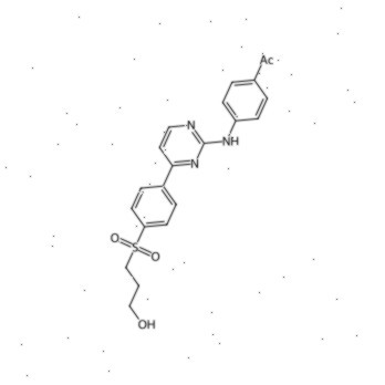 CC(=O)c1ccc(Nc2nccc(-c3ccc(S(=O)(=O)CCCO)cc3)n2)cc1